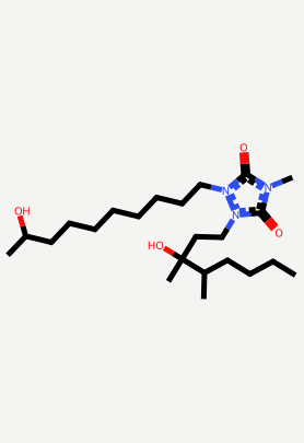 CCCCC(C)C(C)(O)CCn1c(=O)n(C)c(=O)n1CCCCCCCCC(C)O